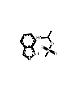 CC(O)OS(C)(=O)=O.c1ccc2[nH]ncc2c1